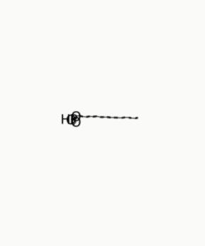 C#CC#CC#CC#CC#CC#CC#CC#CC#CO[PH](=O)OC